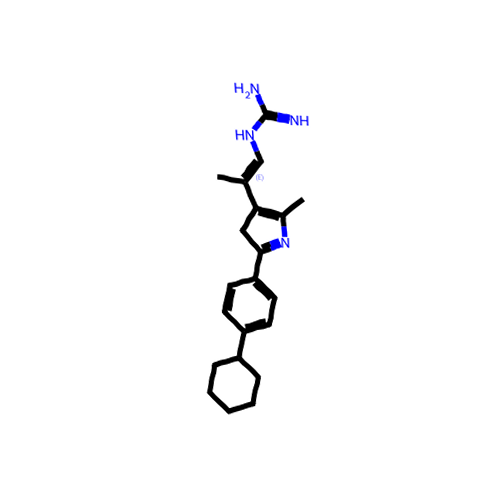 CC1=C(/C(C)=C/NC(=N)N)CC(c2ccc(C3CCCCC3)cc2)=N1